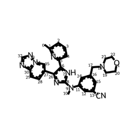 Cc1cccc(-c2[nH]c(N(C)c3cc(C#N)cc(CN4CCOCC4)c3)nc2-c2ccc3ncnn3c2)n1